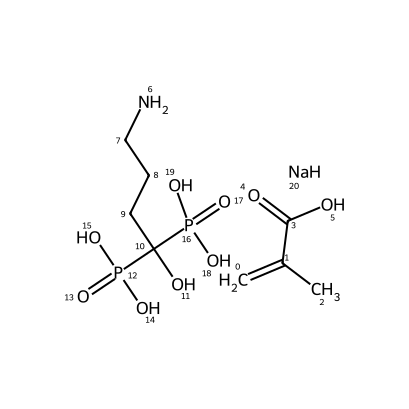 C=C(C)C(=O)O.NCCCC(O)(P(=O)(O)O)P(=O)(O)O.[NaH]